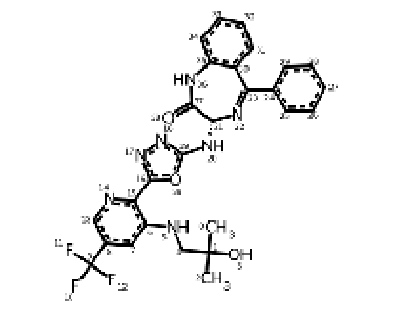 CC(C)(O)CNc1cc(C(F)(F)F)cnc1-c1nnc(N[C@H]2N=C(c3ccccc3)c3ccccc3NC2=O)o1